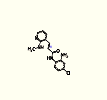 CNc1ncccc1/C=C/C(=O)Nc1ccc(Cl)cc1N